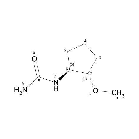 CO[C@H]1CCC[C@@H]1NC(N)=O